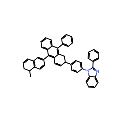 CC1CC=Cc2cc(-c3c4c(c(-c5ccccc5)c5ccccc35)CC(c3ccc(-n5c(-c6ccccc6)nc6ccccc65)cc3)C=C4)ccc21